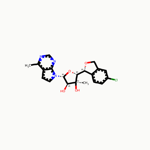 Cc1ncnc2c1ccn2[C@@H]1O[C@H]([C@@H]2OCc3cc(Cl)ccc32)[C@@](C)(O)[C@H]1O